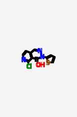 OB1c2c(ccnc2Cl)C=NN1c1cccs1